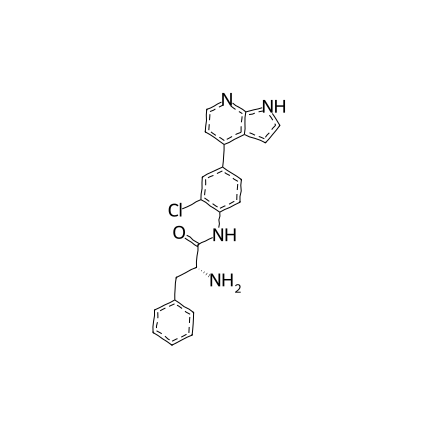 N[C@H](Cc1ccccc1)C(=O)Nc1ccc(-c2ccnc3[nH]ccc23)cc1Cl